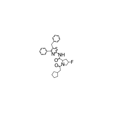 O=C(Nc1nc(-c2ccccc2)c(Cc2ccccc2)s1)C1CC(F)CN1C(=O)CC1CCCC1